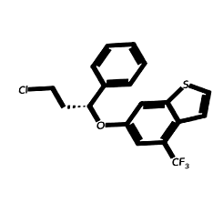 FC(F)(F)c1cc(O[C@H](CCCl)c2ccccc2)cc2sccc12